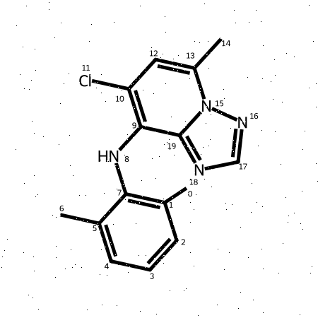 Cc1cccc(C)c1Nc1c(Cl)cc(C)n2ncnc12